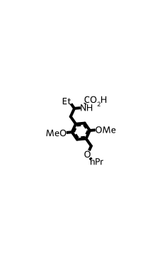 CCCOCc1cc(OC)c(CC(CC)NC(=O)O)cc1OC